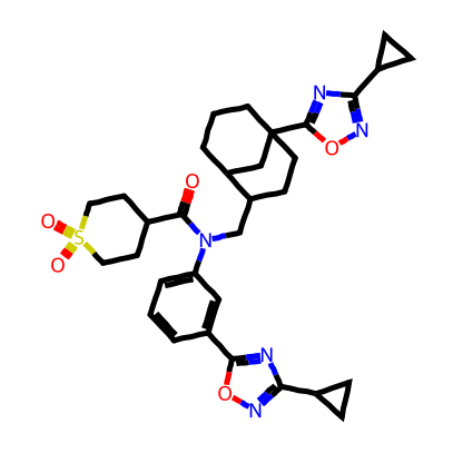 O=C(C1CCS(=O)(=O)CC1)N(CC1CCC2(c3nc(C4CC4)no3)CCCC1C2)c1cccc(-c2nc(C3CC3)no2)c1